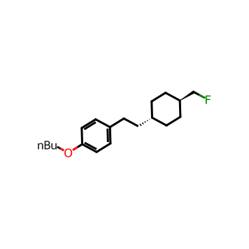 CCCCOc1ccc(CC[C@H]2CC[C@H](CF)CC2)cc1